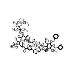 Cc1c(OCc2ccccc2)c(OCc2ccccc2)c(C)[n+](O)c1C(=O)NCCN1CCC(c2cc(C(=O)NCC3C(NC(=O)/C(=N\OC(C)(C)C(=O)OC(C)(C)C)c4csc(NC(=O)OC(C)(C)C)n4)C(=O)N3S(=O)(=O)O)on2)C1